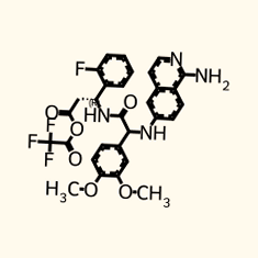 COc1ccc(C(Nc2ccc3c(N)nccc3c2)C(=O)N[C@H](CC(=O)OC(=O)C(F)(F)F)c2ccccc2F)cc1OC